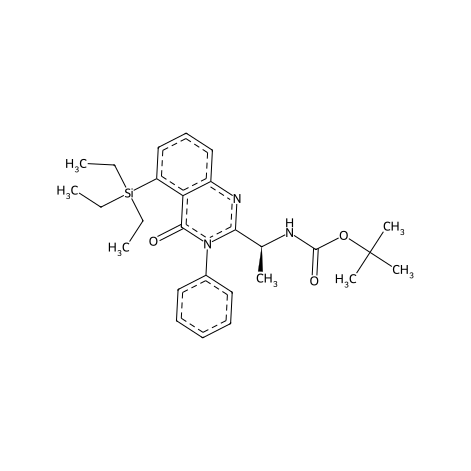 CC[Si](CC)(CC)c1cccc2nc([C@H](C)NC(=O)OC(C)(C)C)n(-c3ccccc3)c(=O)c12